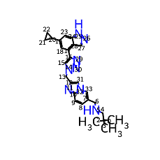 CC(C)(C)CNCc1ccc2nc(Cn3cc(-c4cc(C5CC5)cc5[nH]ncc45)nn3)cn2c1